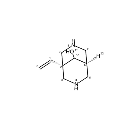 C=C[C@]12CNC[C@H](CNC1)C2O